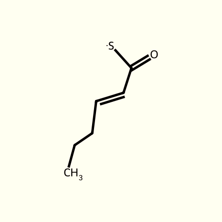 CCCC=CC(=O)[S]